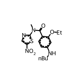 CCCCNc1ccc(C(=O)N(C)c2ncc([N+](=O)[O-])s2)c(OCC)c1